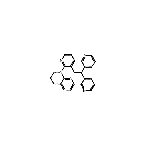 c1cncc(C(Cc2cccnc2N2CCCc3cccnc32)c2cccnc2)c1